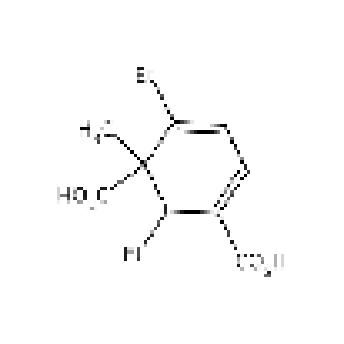 CCC1=CC=C(C(=O)O)C(CC)C1(C)C(=O)O